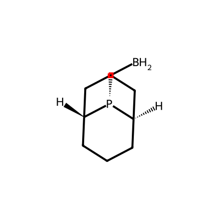 BC[P@]1[C@@H]2CCC[C@@H]1CCC2